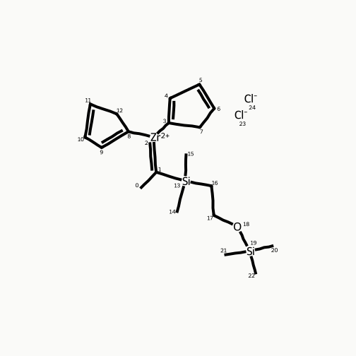 C[C](=[Zr+2]([C]1=CC=CC1)[C]1=CC=CC1)[Si](C)(C)CCO[Si](C)(C)C.[Cl-].[Cl-]